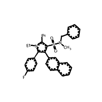 CCn1c(-c2ccc(F)cc2)c(-c2ccc3ccccc3c2)c(S(=O)(=O)N(C)Cc2ccccc2)c1C(C)C